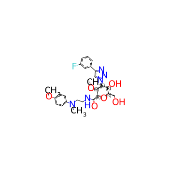 COc1ccc(N(C)CCNC(=O)[C@@H]2O[C@H](CO)[C@H](O)[C@H](n3cc(-c4cccc(F)c4)nn3)[C@H]2OC)cc1